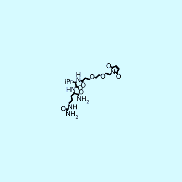 CC(C)C(NC(=O)CCOCCOCCN1C(=O)C=CC1=O)C(=O)NC(CCCNC(N)=O)C(N)=O